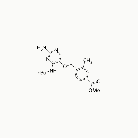 CCCCNc1nc(N)ncc1OCc1ccc(C(=O)OC)cc1C